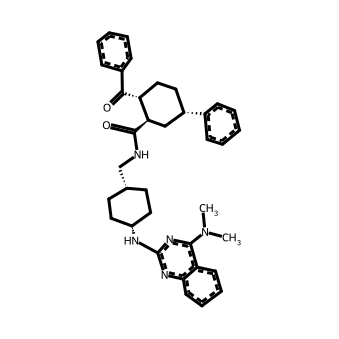 CN(C)c1nc(N[C@H]2CC[C@@H](CNC(=O)[C@@H]3C[C@@H](c4ccccc4)CC[C@H]3C(=O)c3ccccc3)CC2)nc2ccccc12